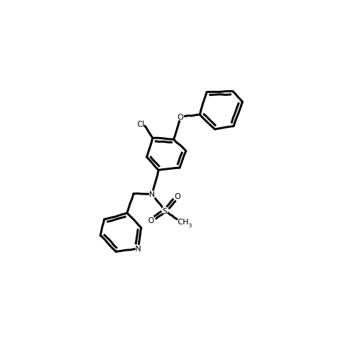 CS(=O)(=O)N(Cc1cccnc1)c1ccc(Oc2ccccc2)c(Cl)c1